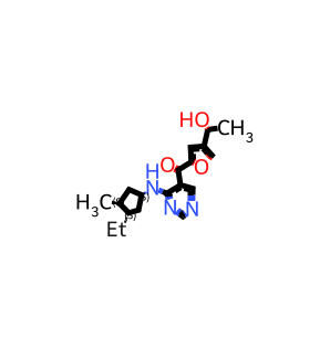 CC[C@H]1C[C@@H](Nc2ncncc2C(=O)c2cc(C(C)O)co2)C[C@@H]1C